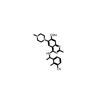 COc1cc2nc(C)nc(NC(C)c3cccc(C#N)c3C)c2cc1N1CCN(C)CC1